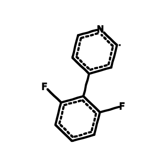 Fc1cccc(F)c1-c1c[c]ncc1